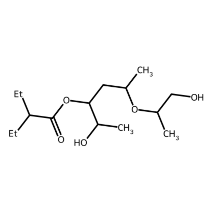 CCC(CC)C(=O)OC(CC(C)OC(C)CO)C(C)O